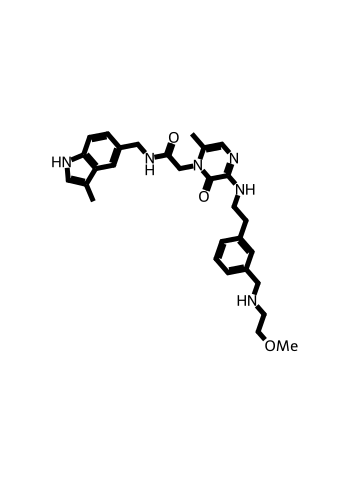 COCCNCc1cccc(CCNc2ncc(C)n(CC(=O)NCc3ccc4[nH]cc(C)c4c3)c2=O)c1